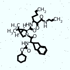 C=CCCC(NC(=O)[C@@H]1[C@H]2[C@@H](CN1C(=O)[C@@H](NC(=O)OC1CCCCC1)C1Cc3ccccc3C1)C2(C)C)C(=O)C(=O)NCC=C